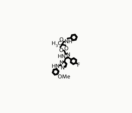 COc1cccc(Nc2nccc(-c3[nH]c(C4OCC(C)(C(=O)NCc5ccccc5)CO4)nc3-c3ccc(F)cc3)n2)c1